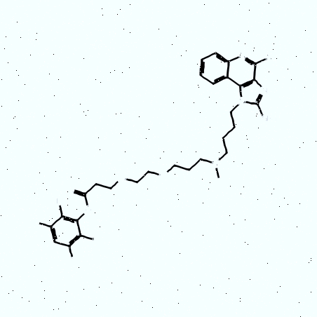 CCCCc1nc2c(N)nc3ccccc3c2n1CCCCN(C)CCCOCCOCCC(=O)Oc1c(F)c(F)cc(F)c1F